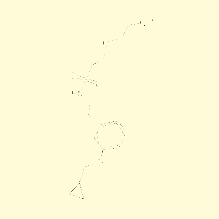 O=S(=O)(CCOCCO)NCCc1cccc(OCC2CC2)c1